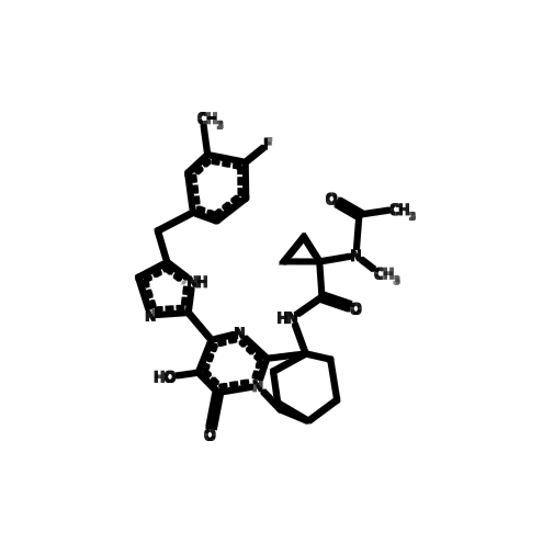 CC(=O)N(C)C1(C(=O)NC23CCC(CC2)Cn2c3nc(-c3ncc(Cc4ccc(F)c(C)c4)[nH]3)c(O)c2=O)CC1